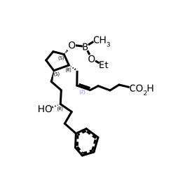 CCOB(C)O[C@H]1CC[C@H](CC[C@@H](O)CCc2ccccc2)[C@H]1C/C=C\CCCC(=O)O